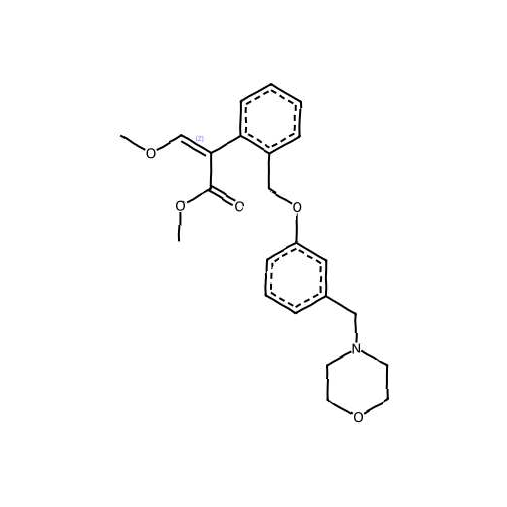 CO/C=C(\C(=O)OC)c1ccccc1COc1cccc(CN2CCOCC2)c1